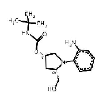 CC(C)(C)NC(=O)O[C@H]1C[C@@H](CO)N(c2ccccc2N)C1